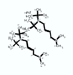 CN(C)CC=CCP(C(C)(C)C)C(C)(C)C.CN(C)CC=CCP(C(C)(C)C)C(C)(C)C.[Pd]